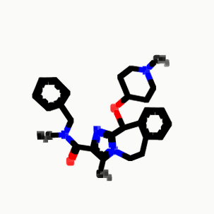 Cc1c(C(=O)N(C)Cc2ccccc2)nc2n1CCc1ccccc1C2OC1CCN(C)CC1